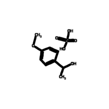 COc1ccc(C(C)O)cc1.O=S(=O)(O)O